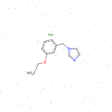 Cl.O=C(O)COc1cccc(Cn2ccnc2)c1